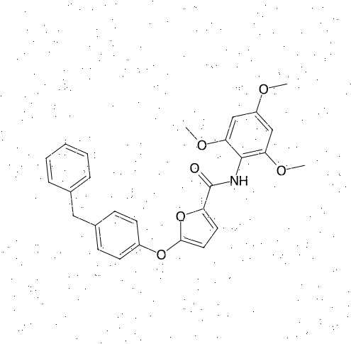 COc1cc(OC)c(NC(=O)c2ccc(Oc3ccc(Cc4ccccc4)cc3)o2)c(OC)c1